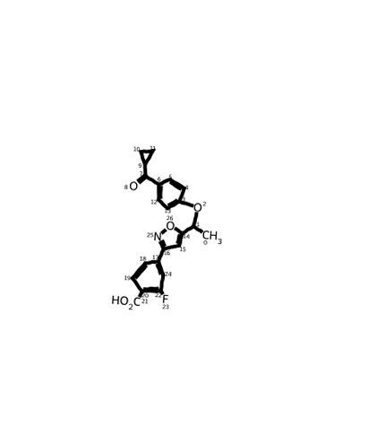 CC(Oc1ccc(C(=O)C2CC2)cc1)c1cc(-c2ccc(C(=O)O)c(F)c2)no1